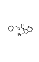 CC(C)C1Cc2ccccc2N1C(=O)OCc1ccccc1